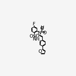 NS(=O)(=O)c1ccc(F)cc1N(C=Cc1ccc(-c2ccco2)cc1)[SH](=O)=O